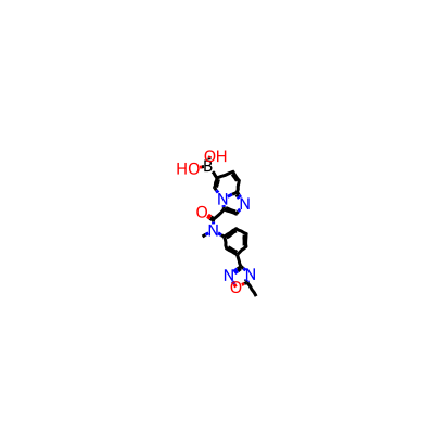 Cc1nc(-c2cccc(N(C)C(=O)c3cnc4ccc(B(O)O)cn34)c2)no1